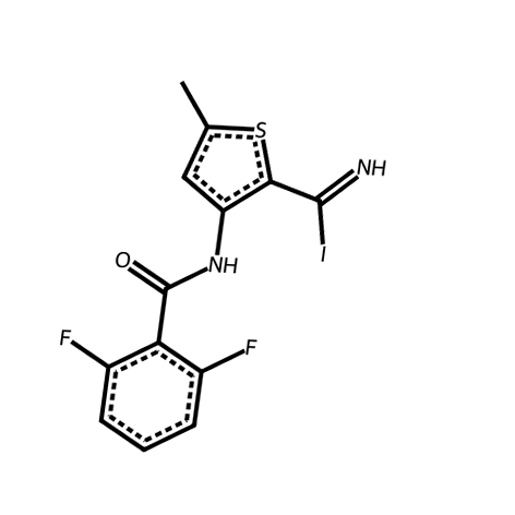 Cc1cc(NC(=O)c2c(F)cccc2F)c(C(=N)I)s1